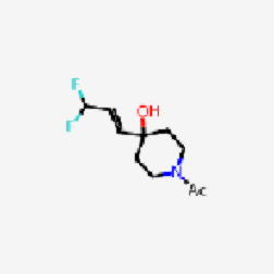 CC(=O)N1CCC(O)(/C=C/C(F)F)CC1